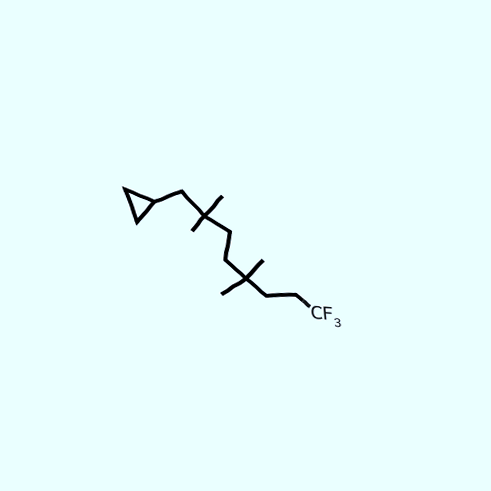 CC(C)(CCC(F)(F)F)CCC(C)(C)CC1CC1